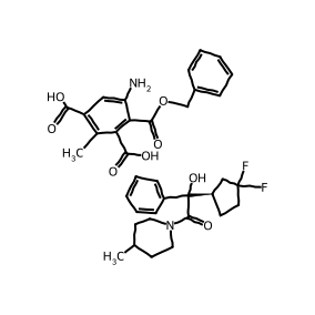 CC1CCN(C(=O)C(O)(c2ccccc2)[C@@H]2CCC(F)(F)C2)CC1.Cc1c(C(=O)O)cc(N)c(C(=O)OCc2ccccc2)c1C(=O)O